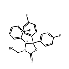 N#CCN1C(=O)OC(c2ccc(F)cc2)(c2ccc(F)cc2)[C@@H]1c1ccccc1F